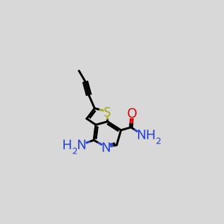 CC#Cc1cc2c(N)ncc(C(N)=O)c2s1